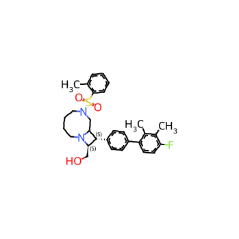 Cc1ccccc1S(=O)(=O)N1CCCCN2C(C1)[C@H](c1ccc(-c3ccc(F)c(C)c3C)cc1)[C@H]2CO